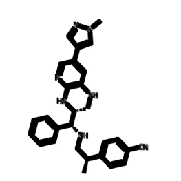 C[C@@H](CN[C@H](c1ccccc1)[C@H]1CNc2cc(-c3cnn(C)c3)cnc2N1)c1ccc(C#N)cc1